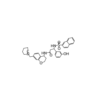 O=C(CC(NS(=O)(=O)c1ccc2ccccc2c1)c1cccc(O)c1)NC1CCOc2cc(CN3CCCCC3)ccc21